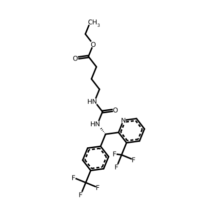 CCOC(=O)CCCNC(=O)N[C@@H](c1ccc(C(F)(F)F)cc1)c1ncccc1C(F)(F)F